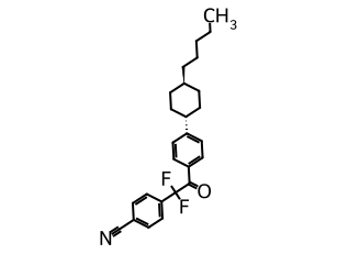 CCCCC[C@H]1CC[C@H](c2ccc(C(=O)C(F)(F)c3ccc(C#N)cc3)cc2)CC1